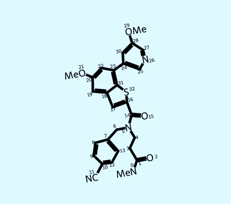 CNC(=O)CCN(Cc1ccc(C#N)cc1)C(=O)c1cc2cc(OC)cc(-c3cncc(OC)c3)c2s1